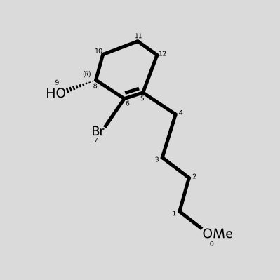 COCCCCC1=C(Br)[C@H](O)CCC1